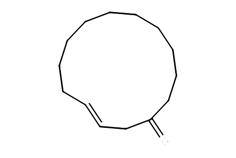 O=C1C/C=C/CCCCCCCCCC1